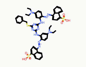 CCN(CC)c1ccc(/N=N/c2ccc(S(=O)(=O)O)c3ccccc23)c(Nc2nc(Nc3cc(N(CC)CC)ccc3/N=N/c3ccc(S(=O)(=O)O)c4ccccc34)nc(SCc3ccccc3)n2)c1